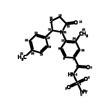 CCCS(=O)(=O)NC(=O)c1ccc(N2C(=O)CSC2c2ccc(C)cc2)c(C)c1